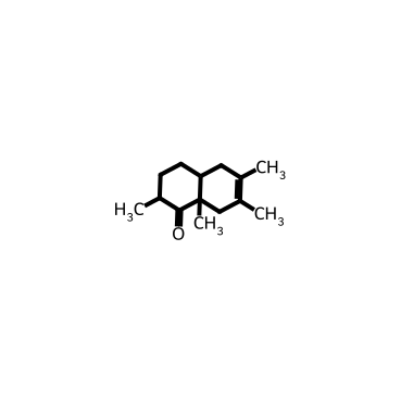 CC1=C(C)CC2(C)C(=O)C(C)CCC2C1